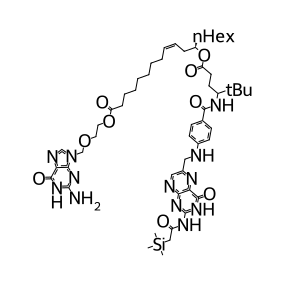 CCCCCC[C@H](C/C=C\CCCCCCCC(=O)OCCOCn1cnc2c(=O)[nH]c(N)nc21)OC(=O)CCC(NC(=O)c1ccc(NCc2cnc3nc(NC(=O)C[Si](C)(C)C)[nH]c(=O)c3n2)cc1)C(C)(C)C